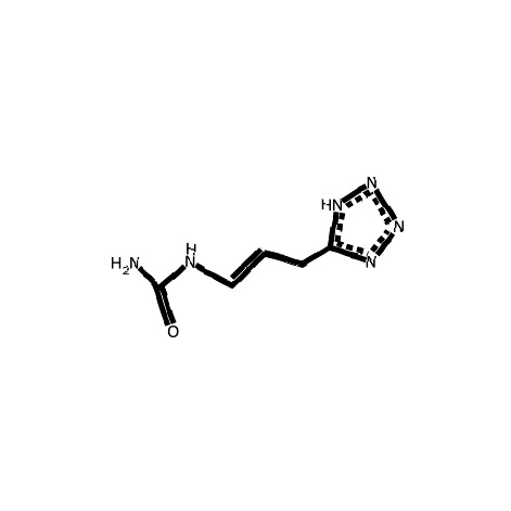 NC(=O)NC=CCc1nnn[nH]1